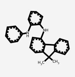 CC1(C)c2ccccc2-c2c(Nc3ccccc3Nc3ccccc3)cccc21